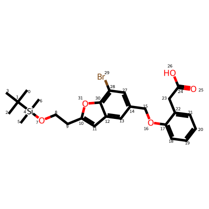 CC(C)(C)[Si](C)(C)OCCc1cc2cc(COc3ccccc3CC(=O)O)cc(Br)c2o1